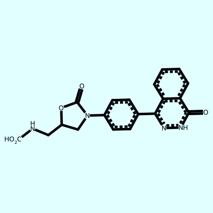 O=C(O)NCC1CN(c2ccc(-c3n[nH]c(=O)c4ccccc34)cc2)C(=O)O1